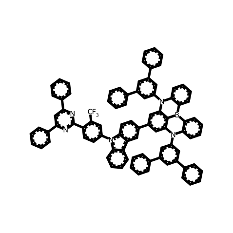 FC(F)(F)c1cc(-n2c3ccccc3c3cc(-c4cc5c6c(c4)N(c4cc(-c7ccccc7)cc(-c7ccccc7)c4)c4ccccc4B6c4ccccc4N5c4cc(-c5ccccc5)cc(-c5ccccc5)c4)ccc32)ccc1-c1nc(-c2ccccc2)cc(-c2ccccc2)n1